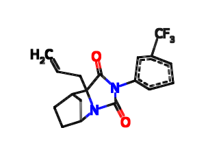 C=CCC12C(=O)N(c3cccc(C(F)(F)F)c3)C(=O)N1C1CCC2C1